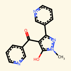 Cn1nc(-c2cccnc2)c(C(=O)c2cccnc2)c1O